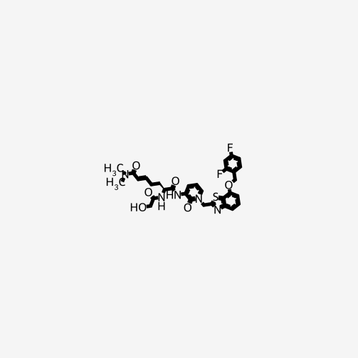 CN(C)C(=O)/C=C/CC[C@H](NC(=O)CO)C(=O)Nc1cccn(Cc2nc3cccc(OCc4ccc(F)cc4F)c3s2)c1=O